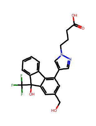 O=C(O)CCCn1cc(-c2cc(CO)cc3c2-c2ccccc2C3(O)C(F)(F)F)cn1